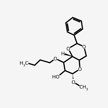 CCCCOC1C(O)[C@@H](OC)OC2COC(c3ccccc3)O[C@H]21